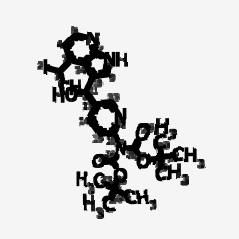 CC(I)c1ccnc2[nH]cc(C(O)c3ccc(N(C(=O)OC(C)(C)C)C(=O)OC(C)(C)C)nc3)c12